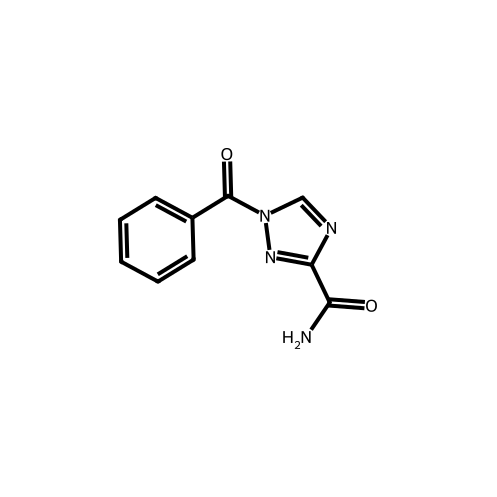 NC(=O)c1ncn(C(=O)c2ccccc2)n1